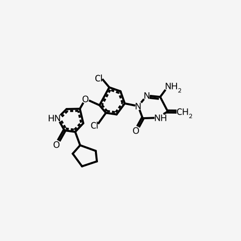 C=C1NC(=O)N(c2cc(Cl)c(Oc3c[nH]c(=O)c(C4CCCC4)c3)c(Cl)c2)N=C1N